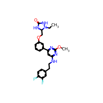 CCN1NC(=O)NC1COc1cccc(-c2cc(NCCc3ccc(F)c(F)c3)nc(OC)n2)c1